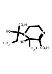 O=C(O)CC(O)(C(=O)O)N1CCN=C(C(=O)O)C1(O)C(=O)O